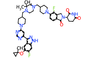 CC1(Oc2cc3c(-c4cc(N5CCC(CN6CCN(CC7CCN(c8ccc9c(c8F)CN(C8CCC(=O)NC8=O)C9=O)CC7)CC6(C)C)CC5)ncn4)n[nH]c3cc2F)CC1